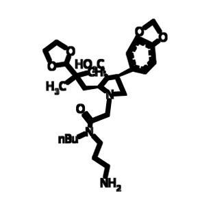 CCCCN(CCCN)C(=O)CN1C[C@H](c2ccc3c(c2)OCO3)[C@@H](C(=O)O)[C@@H]1CC(C)(C)C1OCCO1